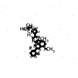 CC[C@@H]1CC[C@@](C)(c2cncc(-c3ccn(CC(C)(C)O)n3)n2)c2nnc(-c3c(F)cccc3F)cc21